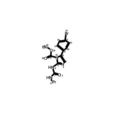 CC(C)NC(=O)Nc1ncc(-c2ccc(Br)cc2)n1C(=O)OC(C)(C)C